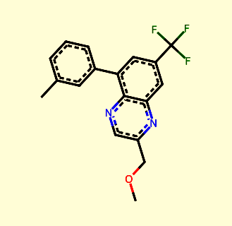 COCc1cnc2c(-c3cccc(C)c3)cc(C(F)(F)F)cc2n1